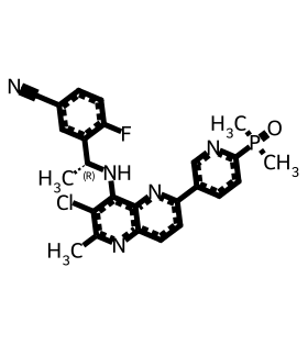 Cc1nc2ccc(-c3ccc(P(C)(C)=O)nc3)nc2c(N[C@H](C)c2cc(C#N)ccc2F)c1Cl